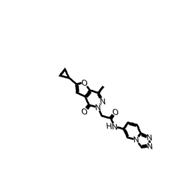 Cc1nn(CC(=O)Nc2ccc3nncn3c2)c(=O)c2cc(C3CC3)oc12